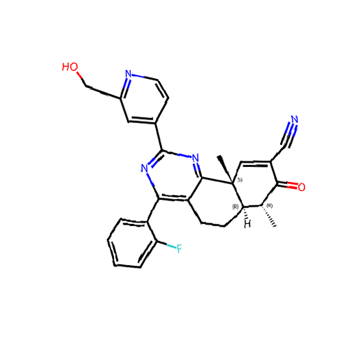 C[C@H]1C(=O)C(C#N)=C[C@@]2(C)c3nc(-c4ccnc(CO)c4)nc(-c4ccccc4F)c3CC[C@H]12